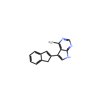 Cc1ncnc2[nH]cc(C3=Cc4ccccc4C3)c12